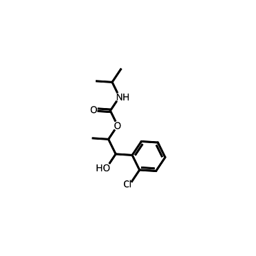 CC(C)NC(=O)OC(C)C(O)c1ccccc1Cl